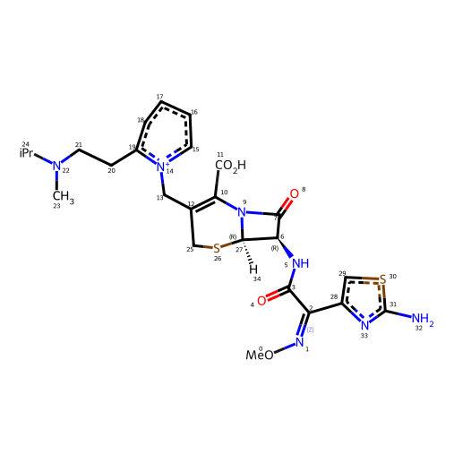 CO/N=C(\C(=O)N[C@@H]1C(=O)N2C(C(=O)O)=C(C[n+]3ccccc3CCN(C)C(C)C)CS[C@H]12)c1csc(N)n1